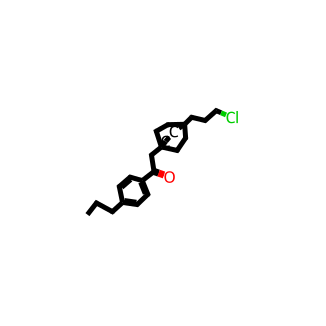 CCCc1ccc(C(=O)CC23CCC(CCCCl)(CC2)CC3)cc1